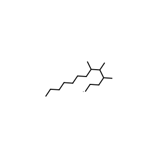 [CH2]CCC(C)C(C)C(C)CCCCCCC